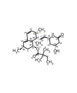 CCC(C)(C)C(=O)O[C@H]1C[C@@H](C)C=C2C=C[C@H](C)[C@H](/C=C/[C@@H]3C[C@@H](O)CC(=O)O3)[C@]21C